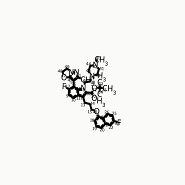 Cc1nn2c(c1-c1c(F)ccc3c(CCCOc4cccc5cc(F)ccc45)c(C(=O)OC(C)(C)C)n(CCN4CCN(C)CC4)c13)OCC2